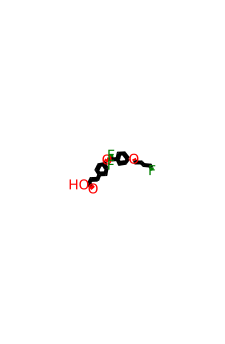 O=C(O)/C=C/c1ccc(OC(F)(F)c2ccc(OCCCCF)cc2)cc1